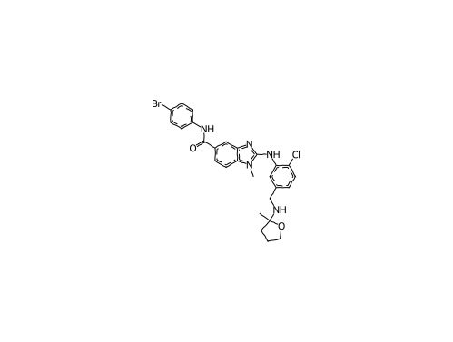 Cn1c(Nc2cc(CNC3(C)CCCO3)ccc2Cl)nc2cc(C(=O)Nc3ccc(Br)cc3)ccc21